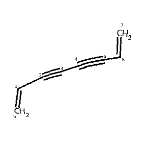 C=CC#CC#CC=C